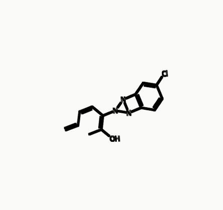 C=C/C=C\C(=C(/C)O)n1n2c3ccc(Cl)cc3n12